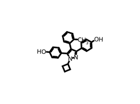 Cc1ccccc1-c1c(-c2ccc(O)cc2)nn(C2CCC2)c1-c1ccc(O)cc1